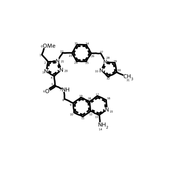 COCc1nc(C(=O)NCc2ccc3c(N)nccc3c2)nn1Cc1ccc(Cn2cc(C)cn2)cc1